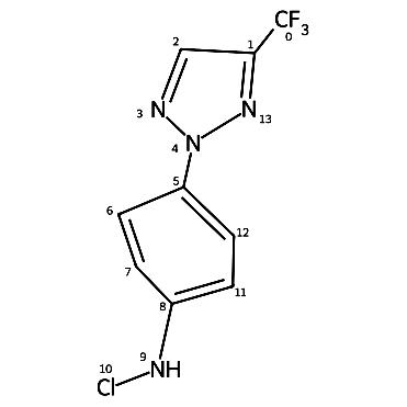 FC(F)(F)c1cnn(-c2ccc(NCl)cc2)n1